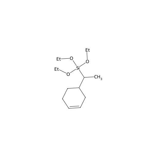 CCO[Si](OCC)(OCC)C(C)C1CC=CCC1